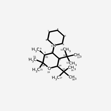 C[C@H]1C(N2CCCCC2)C(C(C)(C)C)C(C(C)(C)C)OC1(C)C